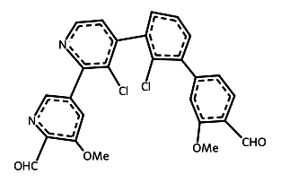 COc1cc(-c2cccc(-c3ccnc(-c4cnc(C=O)c(OC)c4)c3Cl)c2Cl)ccc1C=O